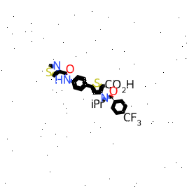 CC(C)N(c1cc(-c2ccc(NC(=O)c3cscn3)cc2)sc1C(=O)O)C(=O)[C@H]1CC[C@H](C(F)(F)F)CC1